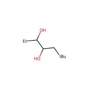 CCC(O)C(O)CC(C)(C)C